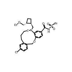 CCOC[C@@H]1CC[C@H]1CN1CCCCc2cc(Cl)ccc2COc2ccc(C(=O)NS(=O)(=O)C(C)C)cc21